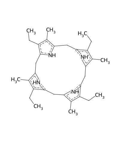 CCc1c2[nH]c(c1C)Cc1[nH]c(c(C)c1CC)Cc1[nH]c(c(C)c1CC)Cc1[nH]c(c(C)c1CC)C2